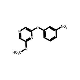 O=C(O)Oc1cncc(Sc2cccc([N+](=O)[O-])c2)n1